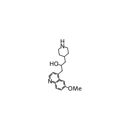 COc1ccc2nccc(CC(O)CC3CCNCC3)c2c1